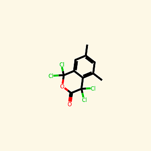 Cc1cc(C)c2c(c1)C(Cl)(Cl)OC(=O)C2(Cl)Cl